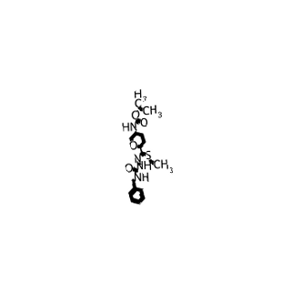 CCS/C(=N\NC(=O)NCc1ccccc1)[C@@H]1CC[C@@H](NC(=O)OC(C)C)CO1